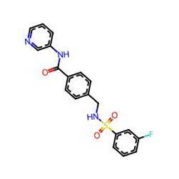 O=C(Nc1cccnc1)c1ccc(CNS(=O)(=O)c2cccc(F)c2)cc1